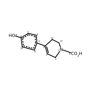 O=C(O)N1CC=C(c2ccc(O)cc2)CC1